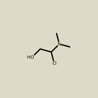 CN(C)C(Cl)CO